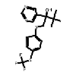 CC(C)(C)C(O)(CSc1ccc(SC(F)(F)F)cc1)c1cncnc1